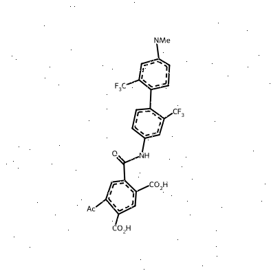 CNc1ccc(-c2ccc(NC(=O)c3cc(C(C)=O)c(C(=O)O)cc3C(=O)O)cc2C(F)(F)F)c(C(F)(F)F)c1